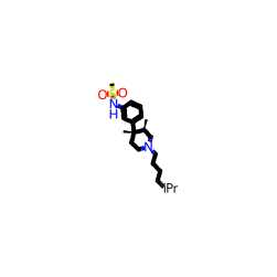 CC(C)CCCCN1CC[C@](C)(c2cccc(NS(C)(=O)=O)c2)[C@@H](C)C1